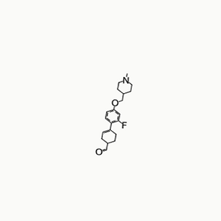 CN1CCC(COc2ccc(C3=CCC(C=O)CC3)c(F)c2)CC1